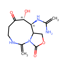 C=C(N)N[C@H]1C2COC(=O)N2C(=C)NCCC(=O)[C@@H]1O